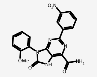 COc1ccccc1-n1c(=O)[nH]c2c(C(N)=O)nc(-c3cccc([N+](=O)[O-])c3)nc21